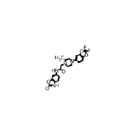 C[C@@H]1CN(c2ccc3c(c2)OC(F)(F)O3)CCN1CC(=O)Nc1ccc2[nH]c(=O)oc2c1